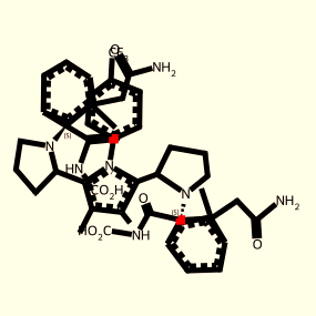 Cc1c(C)c(C2CCCN2[C@@]2(C(=O)NC(=O)O)c3ccc(cc3)C2(C)CC(N)=O)n(-c2ccc(C(F)(F)F)cc2)c1C1CCCN1[C@@]1(C(=O)NC(=O)O)c2ccc(cc2)C1(C)CC(N)=O